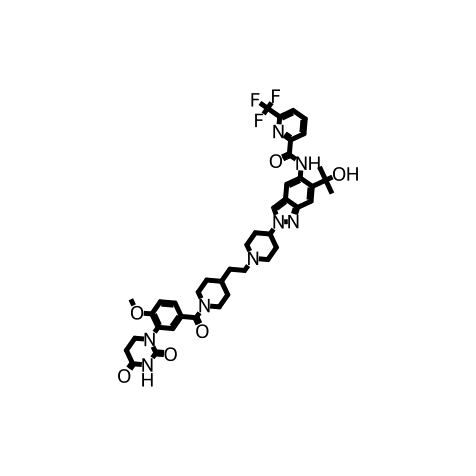 COc1ccc(C(=O)N2CCC(CCN3CCC(n4cc5cc(NC(=O)c6cccc(C(F)(F)F)n6)c(C(C)(C)O)cc5n4)CC3)CC2)cc1N1CCC(=O)NC1=O